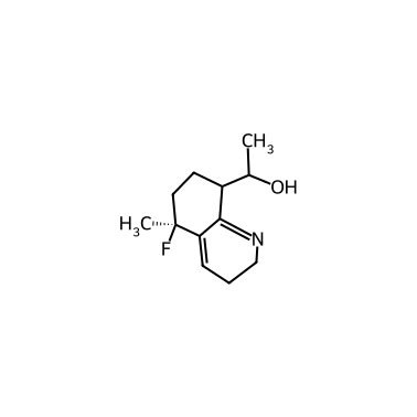 CC(O)C1CC[C@](C)(F)C2=CCCN=C21